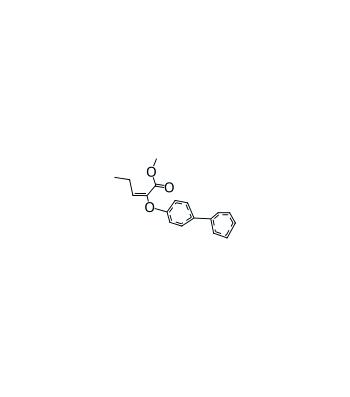 CCC=C(Oc1ccc(-c2ccccc2)cc1)C(=O)OC